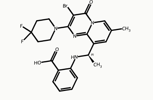 Cc1cc([C@@H](C)Nc2ccccc2C(=O)O)c2nc(N3CCC(F)(F)CC3)c(Br)c(=O)n2c1